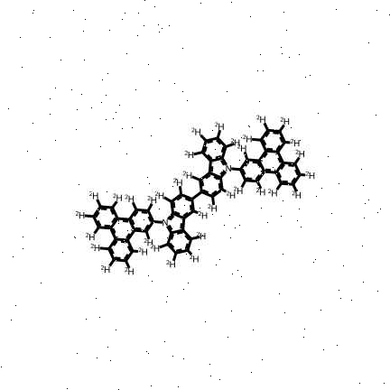 [2H]c1c([2H])c([2H])c2c(c1[2H])c1c([2H])c([2H])c([2H])c([2H])c1c1c([2H])c(-n3c4c([2H])c([2H])c([2H])c([2H])c4c4c([2H])c(-c5c([2H])c([2H])c6c(c5[2H])c5c([2H])c([2H])c([2H])c([2H])c5n6-c5c([2H])c([2H])c6c7c([2H])c([2H])c([2H])c([2H])c7c7c([2H])c([2H])c([2H])c([2H])c7c6c5[2H])c([2H])c([2H])c43)c([2H])c([2H])c21